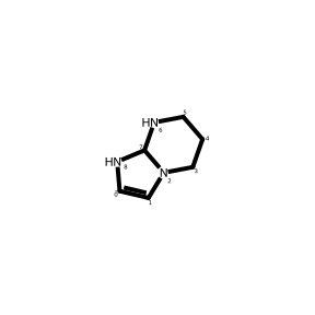 [C]1=CN2CCCNC2N1